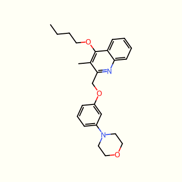 CCCCOc1c(C)c(COc2cccc(N3CCOCC3)c2)nc2ccccc12